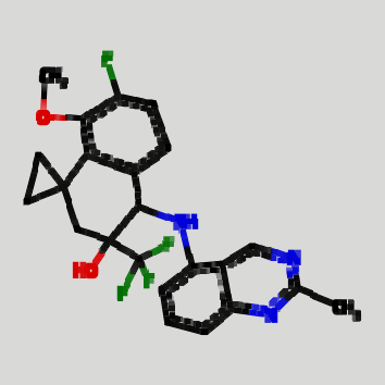 COc1c(F)ccc2c1C1(CC1)CC(O)(C(F)(F)F)C2Nc1cccc2nc(C)ncc12